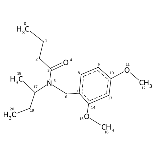 CCCC(=O)N(Cc1ccc(OC)cc1OC)C(C)CC